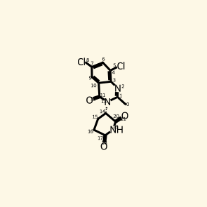 Cc1nc2c(Cl)cc(Cl)cc2c(=O)n1[C@H]1CCC(=O)NC1=O